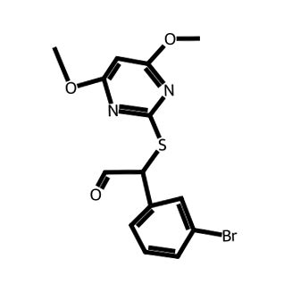 COc1cc(OC)nc(SC(C=O)c2cccc(Br)c2)n1